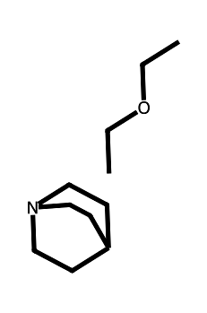 C1CN2CCC1CC2.CCOCC